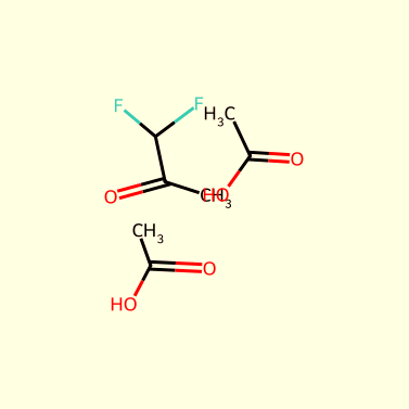 CC(=O)C(F)F.CC(=O)O.CC(=O)O